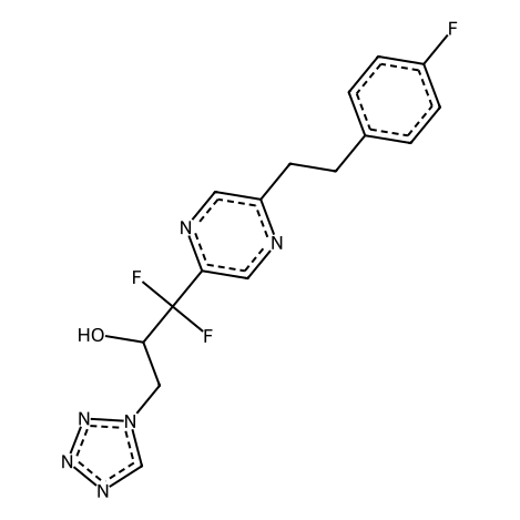 OC(Cn1cnnn1)C(F)(F)c1cnc(CCc2ccc(F)cc2)cn1